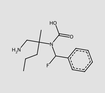 CCCC(C)(CN)N(C(=O)O)C(F)c1ccccc1